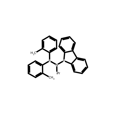 Cc1ccccc1P(c1ccccc1C)N(C(C)C)p1c2ccccc2c2ccccc21